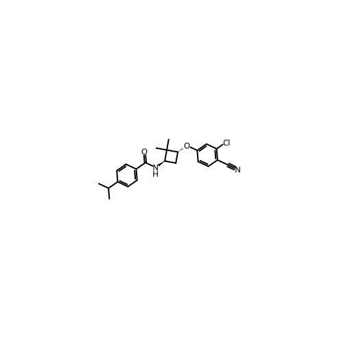 CC(C)c1ccc(C(=O)N[C@@H]2C[C@@H](Oc3ccc(C#N)c(Cl)c3)C2(C)C)cc1